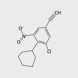 C#Cc1cc(Cl)c(C2CCCCC2)c([N+](=O)[O-])c1